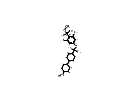 CCCC1CCC(C2CCC(C(F)(F)Oc3cc(F)c(C(F)(F)OC(F)(F)F)c(F)c3)CC2)CC1